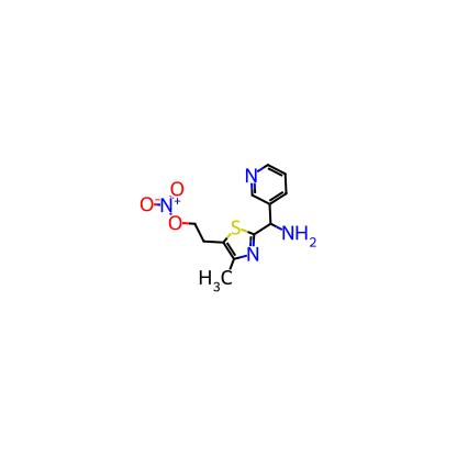 Cc1nc(C(N)c2cccnc2)sc1CCO[N+](=O)[O-]